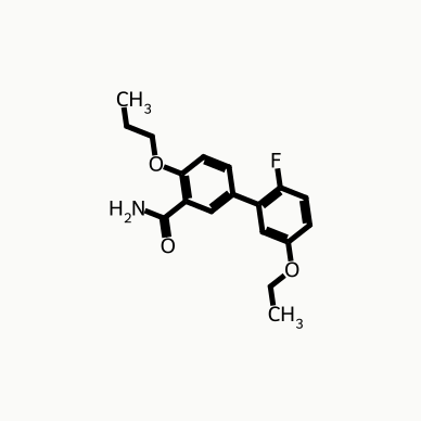 CCCOc1ccc(-c2cc(OCC)ccc2F)cc1C(N)=O